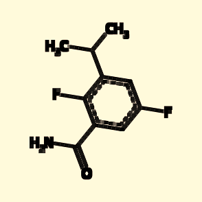 CC(C)c1cc(F)cc(C(N)=O)c1F